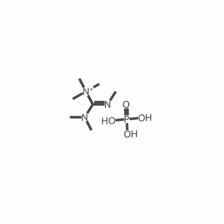 CN=C(N(C)C)[N+](C)(C)C.O=P(O)(O)O